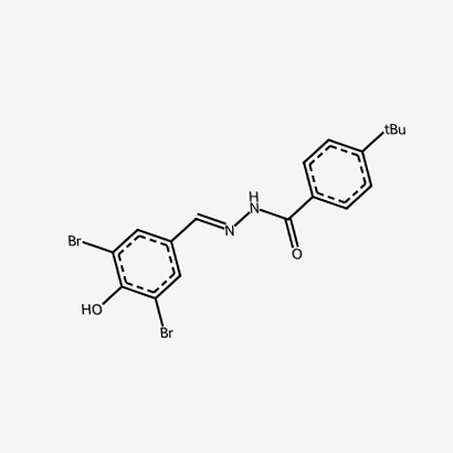 CC(C)(C)c1ccc(C(=O)NN=Cc2cc(Br)c(O)c(Br)c2)cc1